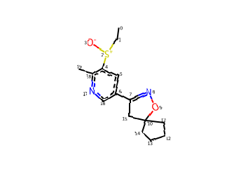 CC[S+]([O-])c1cc(C2=NOC3(CCCC3)C2)cnc1C